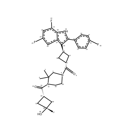 CC1(C)CN(C(=O)[C@H]2C[C@H](c3c(-c4ccc(F)cc4)[nH]c4c(F)cc(F)cc43)C2)CCN1C(=O)[C@H]1C[C@@](C)(O)C1